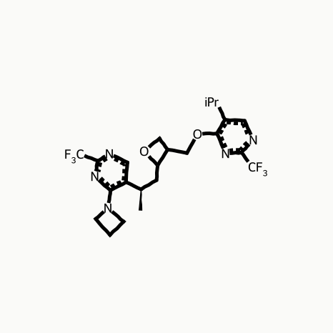 CC(C)c1cnc(C(F)(F)F)nc1OCC1COC1C[C@@H](C)c1cnc(C(F)(F)F)nc1N1CCC1